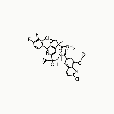 C[C@]1(C(N)=O)COc2c1cc(C(O)(CNC(=O)c1cc(OC3CC3)c3nc(Cl)ccc3c1)C1=CC1)nc2-c1ccc(F)c(F)c1Cl